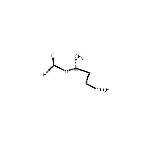 C[C@H](CCC(=O)O)OC(F)F